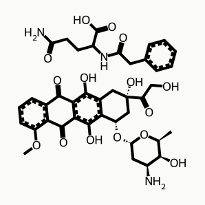 COc1cccc2c1C(=O)c1c(O)c3c(c(O)c1C2=O)C[C@@](O)(C(=O)CO)C[C@@H]3O[C@H]1C[C@H](N)[C@H](O)[C@H](C)O1.NC(=O)CCC(NC(=O)Cc1ccccc1)C(=O)O